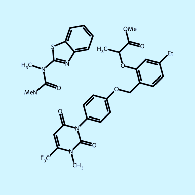 CCc1ccc(COc2ccc(-n3c(=O)cc(C(F)(F)F)n(C)c3=O)cc2)c(OC(C)C(=O)OC)c1.CNC(=O)N(C)c1nc2ccccc2s1